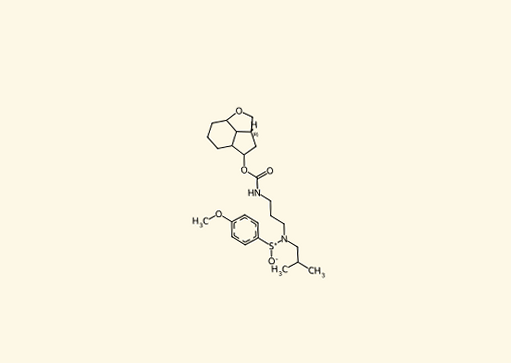 COc1ccc([S+]([O-])N(CCCNC(=O)OC2C[C@H]3COC4CCCC2C43)CC(C)C)cc1